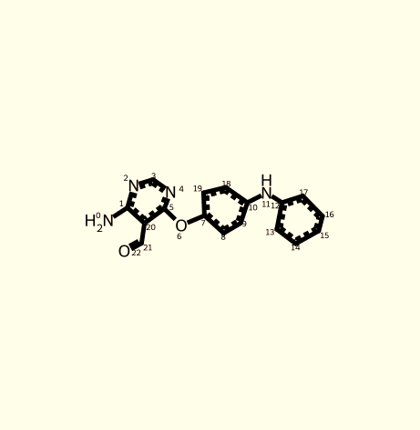 Nc1ncnc(Oc2ccc(Nc3ccccc3)cc2)c1C=O